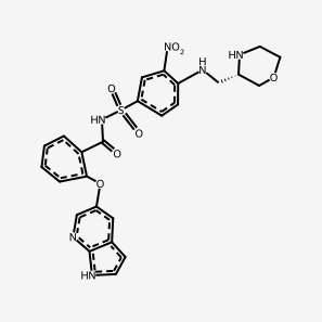 O=C(NS(=O)(=O)c1ccc(NC[C@H]2COCCN2)c([N+](=O)[O-])c1)c1ccccc1Oc1cnc2[nH]ccc2c1